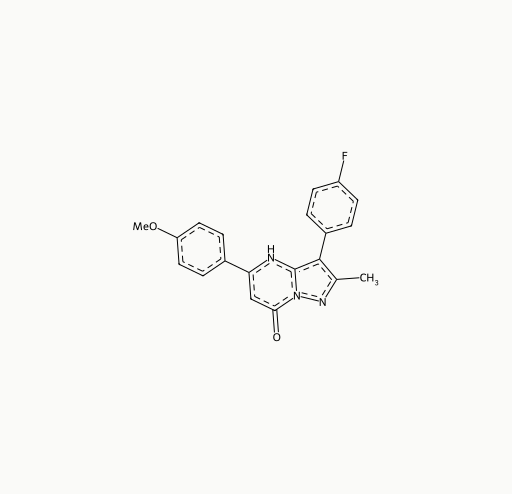 COc1ccc(-c2cc(=O)n3nc(C)c(-c4ccc(F)cc4)c3[nH]2)cc1